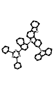 c1ccc(-c2nc(-c3ccccc3)nc(-c3ccc(-n4c5cc(-n6c7ccccc7c7ccccc76)ccc5c5c6oc7ccccc7c6ccc54)c4ccccc34)n2)cc1